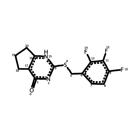 O=c1nc(SCc2ccc(F)c(F)c2F)[nH]c2c1CCC2